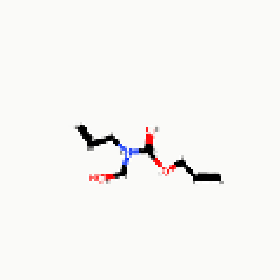 C=CCOC(=O)N(CO)CC=C